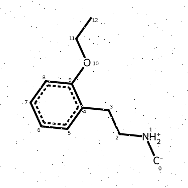 [CH2-][NH2+]CCc1ccccc1OCC